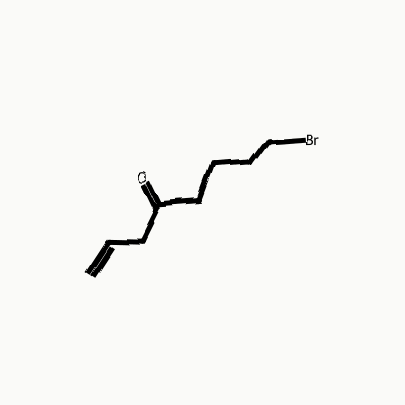 C=CCC(=O)CCCCBr